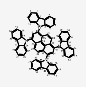 c1ccc2c(c1)c1ccccc1n2-c1cc(-n2c3ccccc3c3ccccc32)c2ccc3c(-n4c5ccccc5c5ccccc54)cc(-n4c5ccccc5c5ccccc54)c4ccc1c2c43